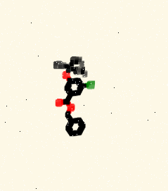 CC(C)(C)[Si](C)(C)Oc1cc(Cl)cc(C(=O)OCc2ccccc2)c1